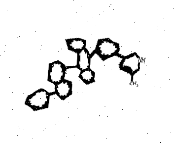 CC1=CC(c2cccc(-c3c4ccccc4c(-c4cccc5c(-c6ccccc6)cccc45)c4ccccc34)c2)=CNC1